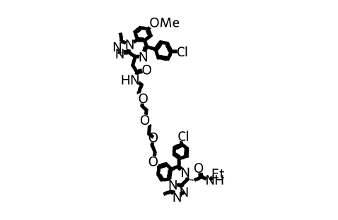 CCNC(=O)C[C@H]1N=C(c2ccc(Cl)cc2)c2cc(OCCOCCOCCOCCNC(=O)CC3N=C(c4ccc(Cl)cc4)c4cc(OC)ccc4-n4c(C)nnc43)ccc2-n2c(C)nnc21